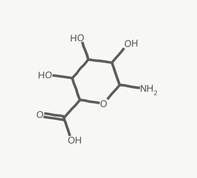 NC1OC(C(=O)O)C(O)C(O)C1O